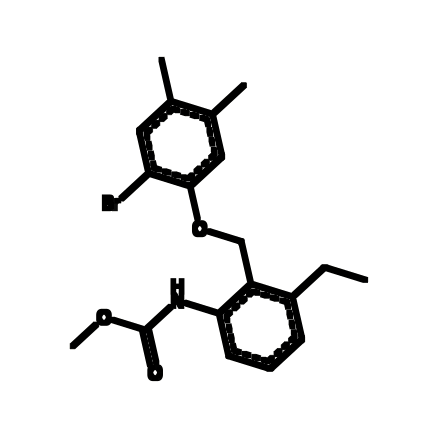 CCc1cccc(NC(=O)OC)c1COc1cc(C)c(C)cc1Br